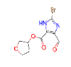 O=Cc1nc(Br)[nH]c1C(=O)OC1CCOC1